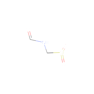 O=[C]NC[SH](=O)=O